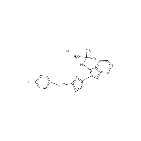 CC(C)(C)Nc1c(-c2ccc(C#Cc3ccc(F)cc3)s2)nc2cnccn12.Cl